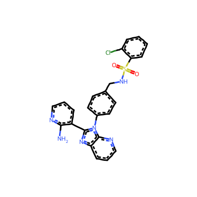 Nc1ncccc1-c1nc2cccnc2n1-c1ccc(CNS(=O)(=O)c2ccccc2Cl)cc1